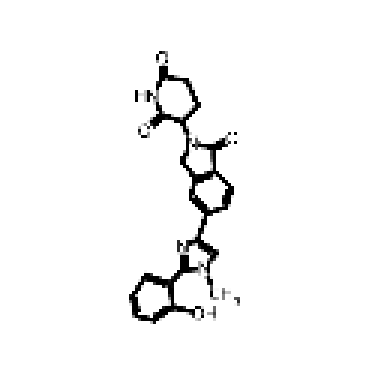 Cn1cc(-c2ccc3c(c2)CN(C2CCC(=O)NC2=O)C3=O)nc1-c1ccccc1O